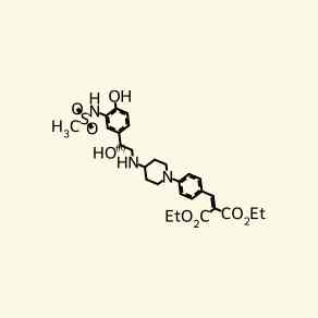 CCOC(=O)C(=Cc1ccc(N2CCC(NC[C@H](O)c3ccc(O)c(NS(C)(=O)=O)c3)CC2)cc1)C(=O)OCC